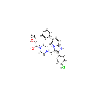 COCC(=O)N1CCN(Cc2c(-c3ccc(Cl)cc3)nc3ccc(-c4ccccc4)cn23)CC1